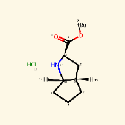 CC(C)(C)OC(=O)[C@H]1C[C@@H]2CCC[C@@H]2N1.Cl